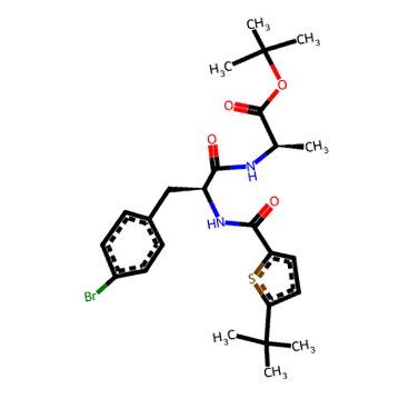 C[C@@H](NC(=O)[C@H](Cc1ccc(Br)cc1)NC(=O)c1ccc(C(C)(C)C)s1)C(=O)OC(C)(C)C